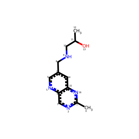 Cc1ncc2ncc(CNCC(C)O)cc2n1